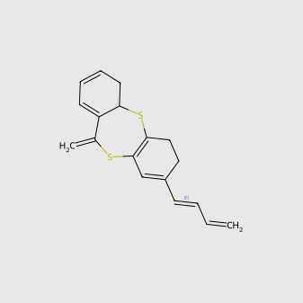 C=C/C=C/C1=CC2=C(CC1)SC1CC=CC=C1C(=C)S2